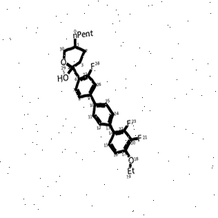 CCCCCC1CCC(O)(c2ccc(-c3ccc(-c4ccc(OCC)c(F)c4F)cc3)cc2F)OC1